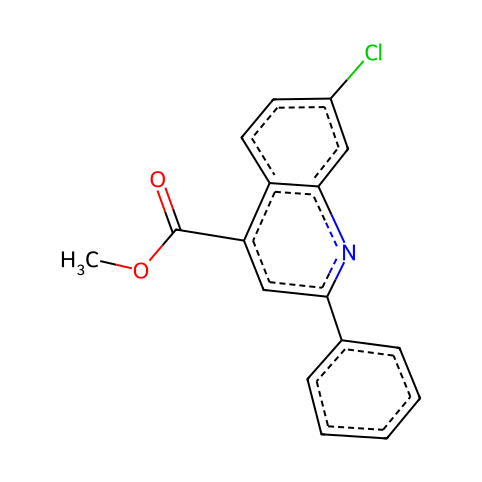 COC(=O)c1cc(-c2ccccc2)nc2cc(Cl)ccc12